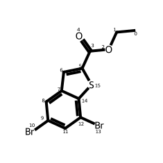 CCOC(=O)c1cc2cc(Br)cc(Br)c2s1